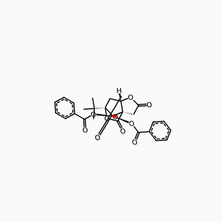 CC(C)(C)[C@@]12C[C@@H]3OC(=O)C[C@]3(C(=O)O1)[C@@]21[C@H](OC(=O)c2ccccc2)OC(=O)[C@@H]1OC(=O)c1ccccc1